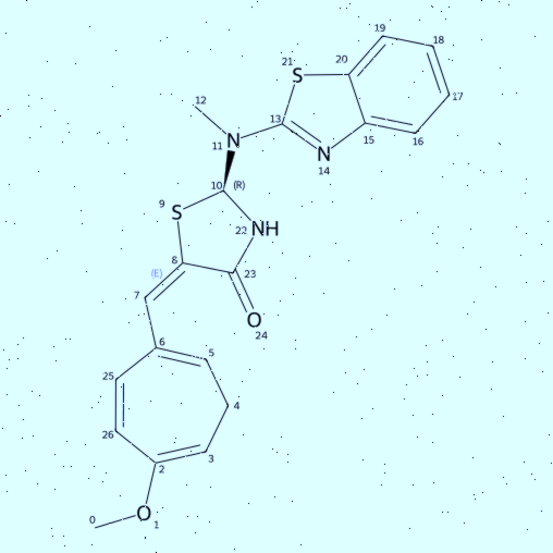 COC1=CCC=C(/C=C2/S[C@@H](N(C)c3nc4ccccc4s3)NC2=O)C=C1